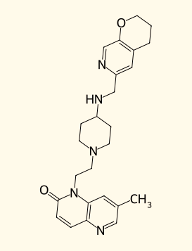 Cc1cnc2ccc(=O)n(CCN3CCC(NCc4cc5c(cn4)OCCC5)CC3)c2c1